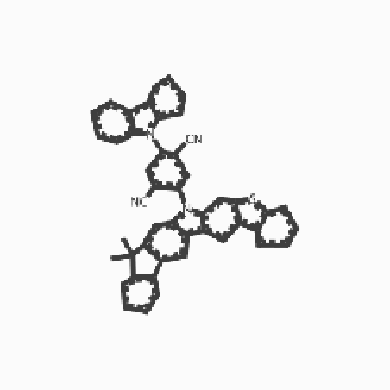 CC1(C)c2ccccc2-c2cc3c4cc5c(cc4n(-c4cc(C#N)c(-n6c7ccccc7c7ccccc76)cc4C#N)c3cc21)sc1ccccc15